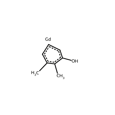 Cc1cccc(O)c1C.[Gd]